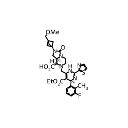 CCOC(=O)C1=C(CN2CCN3C(=O)N(C45CC(COC)(C4)C5)C[C@@H]3[C@@H]2C(=O)O)NC(c2nccs2)=N[C@H]1c1cccc(F)c1C